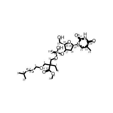 CCC(COCSSC(C)C)(COP(O)(=S)OC1C[C@H](n2cc(C)c(=O)[nH]c2=O)O[C@@H]1CO)C(=O)OC